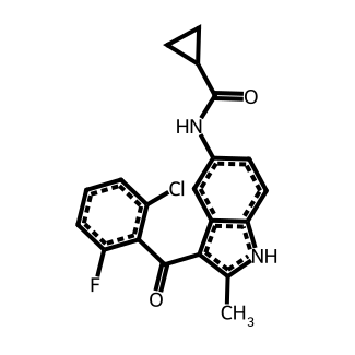 Cc1[nH]c2ccc(NC(=O)C3CC3)cc2c1C(=O)c1c(F)cccc1Cl